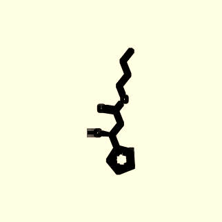 CCCCOC(=O)C[C@H](O)c1cccs1